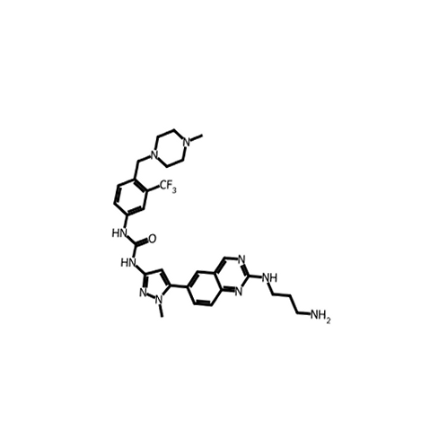 CN1CCN(Cc2ccc(NC(=O)Nc3cc(-c4ccc5nc(NCCCN)ncc5c4)n(C)n3)cc2C(F)(F)F)CC1